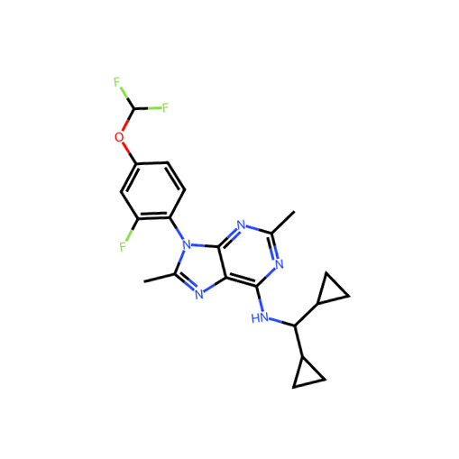 Cc1nc(NC(C2CC2)C2CC2)c2nc(C)n(-c3ccc(OC(F)F)cc3F)c2n1